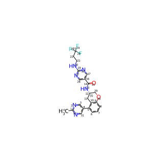 Cc1ncc(-c2cccc3c2C[C@H](NC(=O)c2cnc(NCCC(F)(F)F)nc2)CO3)cn1